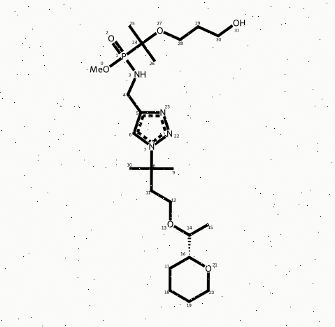 COP(=O)(NCc1cn(C(C)(C)CCOC(C)[C@H]2CCCCO2)nn1)C(C)(C)OCCCO